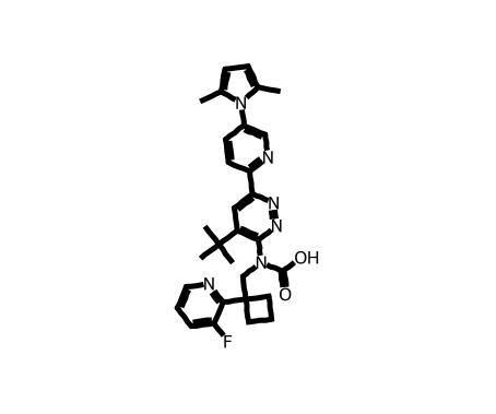 Cc1ccc(C)n1-c1ccc(-c2cc(C(C)(C)C)c(N(CC3(c4ncccc4F)CCC3)C(=O)O)nn2)nc1